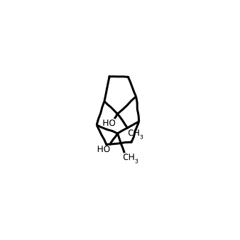 CC1(O)C2CCC1C1CCC2C1(C)O